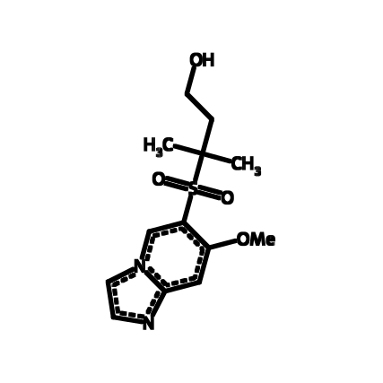 COc1cc2nccn2cc1S(=O)(=O)C(C)(C)CCO